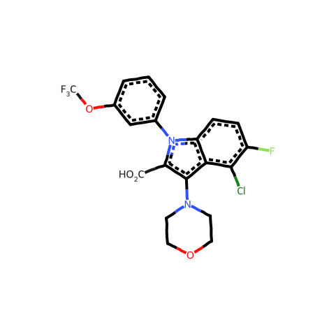 O=C(O)c1c(N2CCOCC2)c2c(Cl)c(F)ccc2n1-c1cccc(OC(F)(F)F)c1